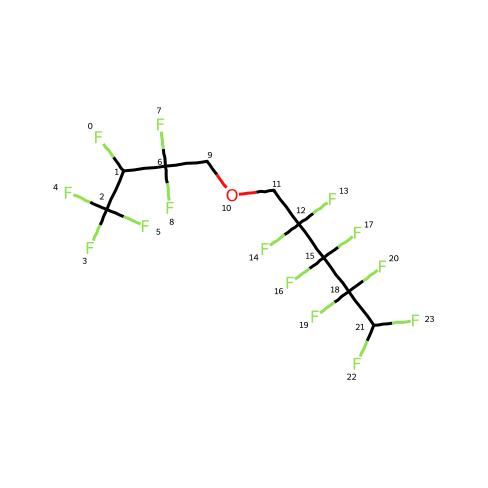 FC(C(F)(F)F)C(F)(F)COCC(F)(F)C(F)(F)C(F)(F)C(F)F